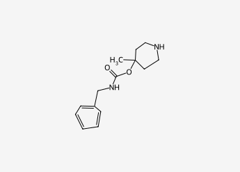 CC1(OC(=O)NCc2ccccc2)CCNCC1